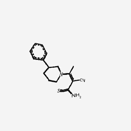 C/C(=C(\C#N)C(N)=S)N1CCCC(c2ccccc2)C1